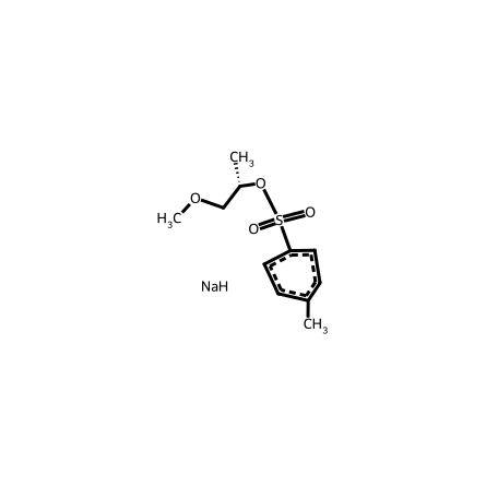 COC[C@H](C)OS(=O)(=O)c1ccc(C)cc1.[NaH]